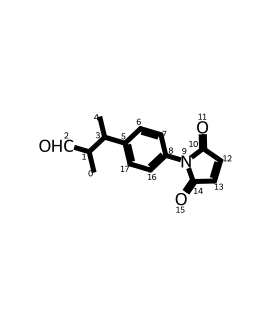 CC(C=O)C(C)c1ccc(N2C(=O)C=CC2=O)cc1